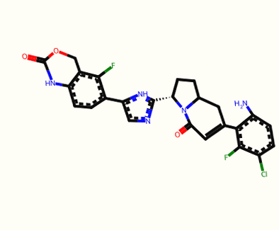 Nc1ccc(Cl)c(F)c1C1=CC(=O)N2C(CC[C@H]2c2ncc(-c3ccc4c(c3F)COC(=O)N4)[nH]2)C1